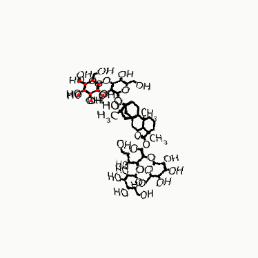 CC1(C(=O)OC2OC(CO)C(O)C(OC3OC(CO)C(O)C(O)C3O)C2OC2OC(CO)C(O)C(O)C2O)CCCC2(C)C3CCC4(OC5OC(CO)C(O)C(OC6OC(CO)C(O)C(O)C6O)C5OC5OC(CO)C(O)C(O)C5O)CC3(CCC12)CC4(C)O